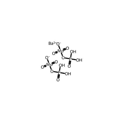 O=P(O)(O)[O][Mo](=[O])(=[O])[O-].O=P(O)(O)[O][Mo](=[O])(=[O])[O-].[Ba+2]